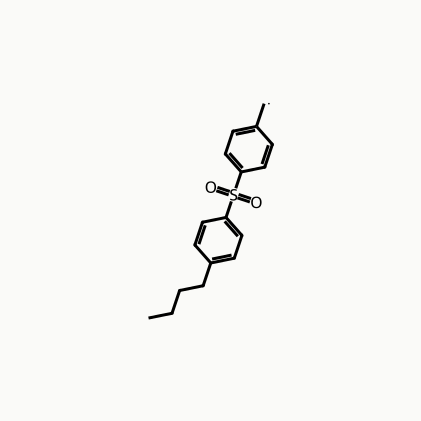 [CH2]c1ccc(S(=O)(=O)c2ccc(CCCC)cc2)cc1